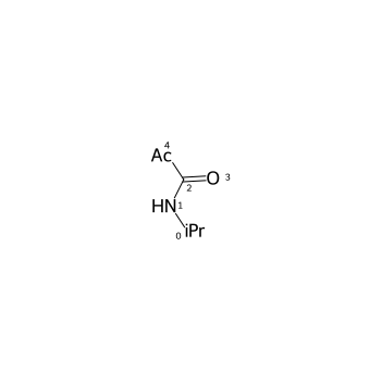 [CH2]C([CH2])NC(=O)C(C)=O